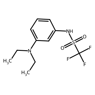 CCN(CC)c1cccc(NS(=O)(=O)C(F)(F)F)c1